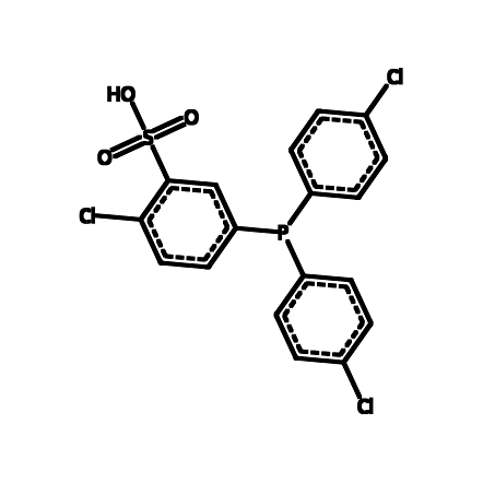 O=S(=O)(O)c1cc(P(c2ccc(Cl)cc2)c2ccc(Cl)cc2)ccc1Cl